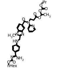 CCCCCCOC(=O)/N=C(\N)c1ccc(NCc2nc3cc(C(=O)N(CCC(=O)OC(C)OC(=O)OC(C)C)c4ccccn4)ccc3n2C)cc1